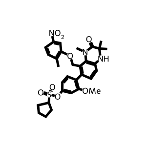 COc1cc(OS(=O)(=O)C2CCCC2)ccc1-c1ccc2c(c1COc1cc([N+](=O)[O-])ccc1C)N(C)C(=O)C(C)(C)N2